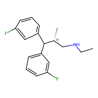 CCNC[C@@H](C)C(c1cccc(F)c1)c1cccc(F)c1